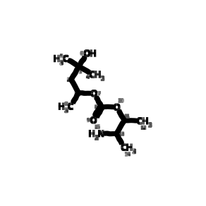 CC(CC(C)(C)O)OC(=O)OC(C)C(C)N